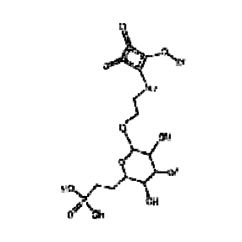 CCOc1c(NCCOC2OC(CCP(=O)(O)O)C(O)C(O)C2O)c(=O)c1=O